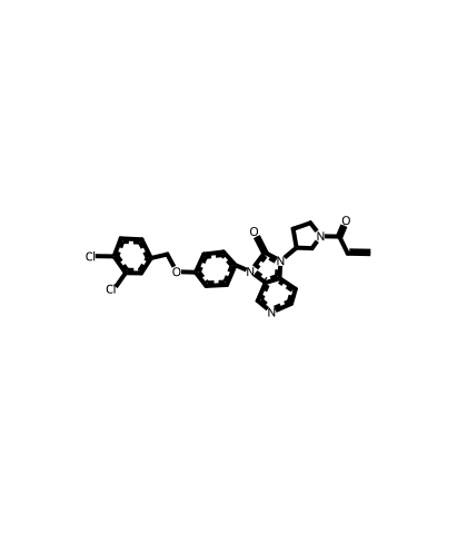 C=CC(=O)N1CCC(n2c(=O)n(-c3ccc(OCc4ccc(Cl)c(Cl)c4)cc3)c3cnccc32)C1